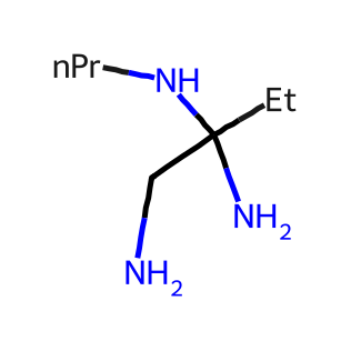 CCCNC(N)(CC)CN